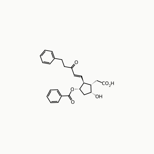 O=C(O)C[C@H]1[C@H](C=CC(=O)CCc2ccccc2)[C@@H](OC(=O)c2ccccc2)C[C@H]1O